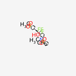 CC(C)N(c1cccc(C(O)(C#Cc2ccc(S(C)(=O)=O)cc2)C(F)(F)F)c1)S(=O)(=O)c1ccccc1